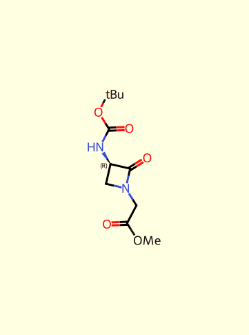 COC(=O)CN1C[C@@H](NC(=O)OC(C)(C)C)C1=O